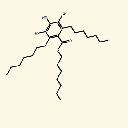 CCCCCCCOC(=O)c1c(CCCCCCC)c(O)c(O)c(O)c1CCCCCCC